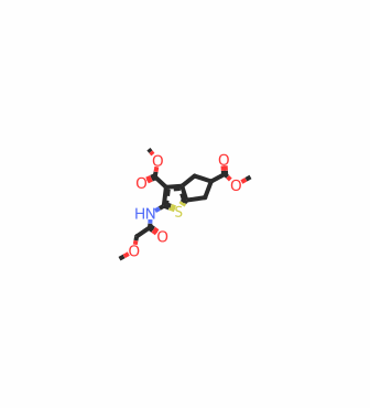 COCC(=O)Nc1sc2c(c1C(=O)OC)CC(C(=O)OC)C2